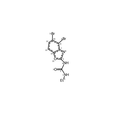 CCNC(=O)Nc1nc2c(Br)c(Br)ccc2o1